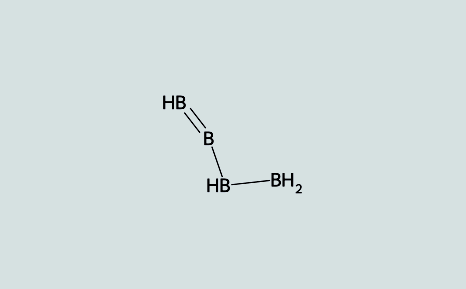 B=BBB